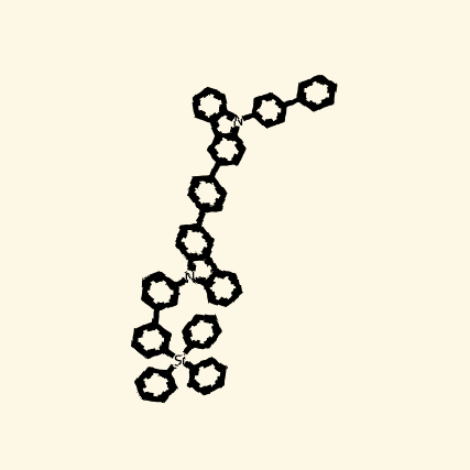 c1ccc(-c2ccc(-n3c4ccccc4c4cc(-c5ccc(-c6ccc7c(c6)c6ccccc6n7-c6cccc(-c7cccc([Si](c8ccccc8)(c8ccccc8)c8ccccc8)c7)c6)cc5)ccc43)cc2)cc1